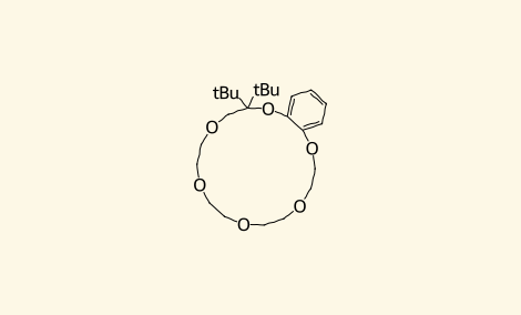 CC(C)(C)C1(C(C)(C)C)COCCOCCOCCOCCOc2ccccc2O1